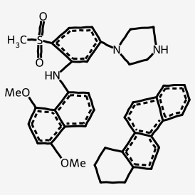 COc1ccc(OC)c2c(Nc3cc(N4CCNCC4)ccc3S(C)(=O)=O)cccc12.c1ccc2c(c1)ccc1c3c(ccc12)CCCC3